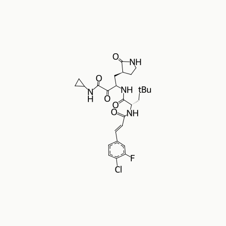 CC(C)(C)C[C@H](NC(=O)/C=C/c1ccc(Cl)c(F)c1)C(=O)NC(C[C@@H]1CCNC1=O)C(=O)C(=O)NC1CC1